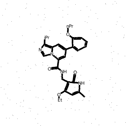 CCCOc1ccccc1-c1cc(C(=O)NCc2c(OCC)cc(C)[nH]c2=O)n2cnc(C(C)C)c2c1